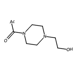 CC(=O)C(=O)N1CCN(CCO)CC1